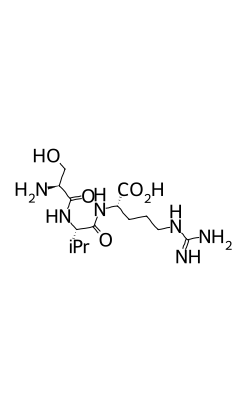 CC(C)[C@H](NC(=O)[C@@H](N)CO)C(=O)N[C@@H](CCCNC(=N)N)C(=O)O